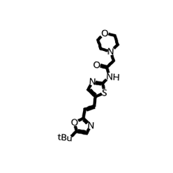 CC(C)(C)c1cnc(C=Cc2cnc(NC(=O)CN3CCOCC3)s2)o1